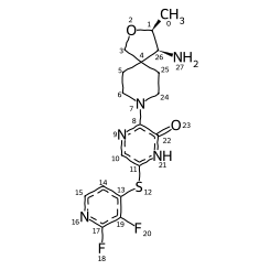 C[C@@H]1OCC2(CCN(c3ncc(Sc4ccnc(F)c4F)[nH]c3=O)CC2)[C@@H]1N